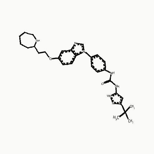 CC(C)(C)c1cc(NC(=O)Nc2ccc(-n3cnc4cc(OCCC5CCCCCN5)ccc43)cc2)[nH]n1